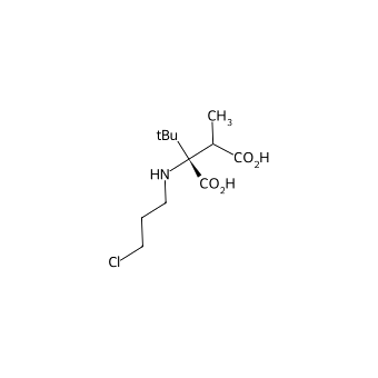 CC(C(=O)O)[C@@](NCCCCl)(C(=O)O)C(C)(C)C